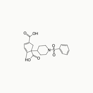 CC1=CC=C(C(=O)O)CC1(C(=O)O)C1CCN(S(=O)(=O)c2ccccc2)CC1